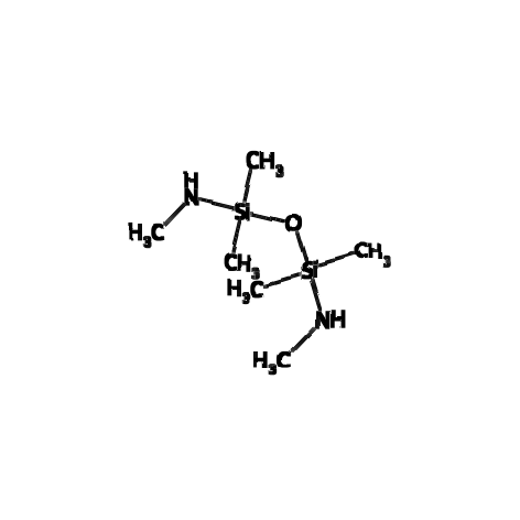 CN[Si](C)(C)O[Si](C)(C)NC